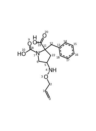 C=CCONC1CN(C(=O)O)C(Cc2ccccc2)(C(=O)O)C1